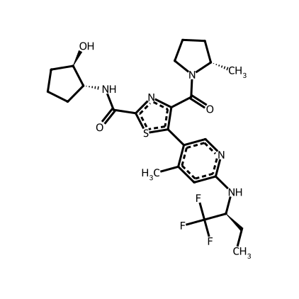 CC[C@H](Nc1cc(C)c(-c2sc(C(=O)N[C@@H]3CCC[C@H]3O)nc2C(=O)N2CCC[C@@H]2C)cn1)C(F)(F)F